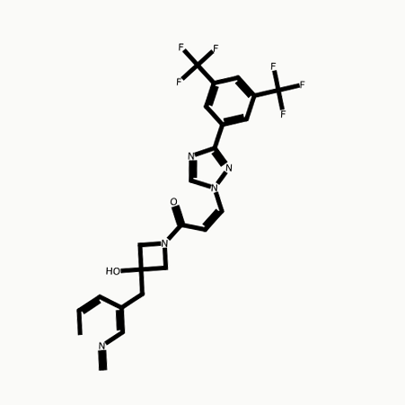 C=N/C=C(\C=C/C)CC1(O)CN(C(=O)/C=C\n2cnc(-c3cc(C(F)(F)F)cc(C(F)(F)F)c3)n2)C1